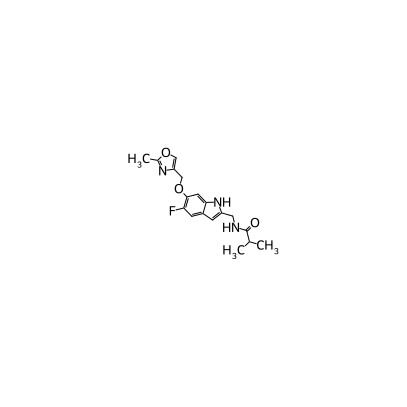 Cc1nc(COc2cc3[nH]c(CNC(=O)C(C)C)cc3cc2F)co1